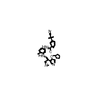 C/N=C\C(=C/Nc1cc(NC(=O)c2cccc(C(C)(C)C#N)c2)ccc1C)c1cnccc1OCC1CCCC1